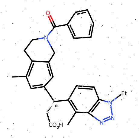 CCn1nnc2c(C)c([C@H](CC(=O)O)c3cc(C)c4c(c3)CN(C(=O)c3ccccc3)CC4)ccc21